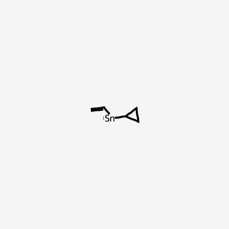 C=[CH][Sn][CH]1CC1